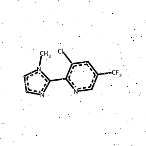 Cn1ccnc1-c1ncc(C(F)(F)F)cc1Cl